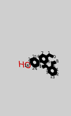 C=Cc1ccccc1.C=Cc1ccccc1C=C.Oc1ccccc1